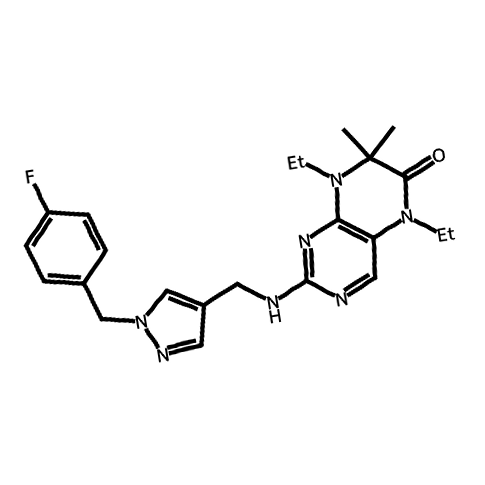 CCN1C(=O)C(C)(C)N(CC)c2nc(NCc3cnn(Cc4ccc(F)cc4)c3)ncc21